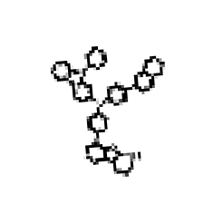 C1=Cc2c(sc3c(-c4ccc(N(c5ccc(-c6ccc7ccccc7c6)cc5)c5ccc6c7ccccc7n(-c7ccccc7)c6c5)cc4)cccc23)NC1